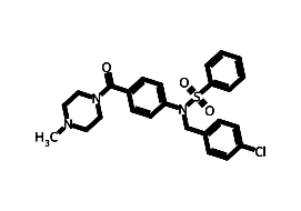 CN1CCN(C(=O)c2ccc(N(Cc3ccc(Cl)cc3)S(=O)(=O)c3ccccc3)cc2)CC1